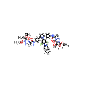 COC(=O)N[C@H](C(=O)N1CCC[C@H]1C(=O)Nc1ccc([C@H]2CC[C@H](c3ccc(NC(=O)[C@@H]4CCCN4C(=O)[C@@H](NC(=O)OC)[C@@H](C)OC)cc3)N2c2cc(F)c(N3CC[Si]4(CCCCC4)CC3)c(F)c2)cc1)[C@@H](C)OC